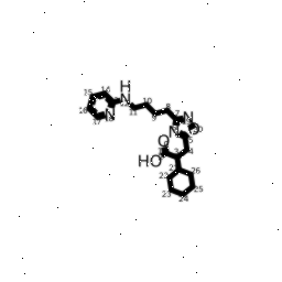 O=C(O)C(Cc1nc(CCCCNc2ccccn2)no1)C1CCCCC1